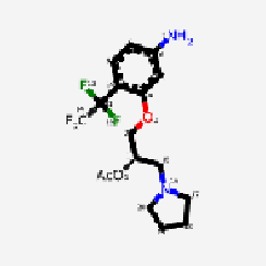 CC(=O)O[C@@H](COc1cc(N)ccc1C(F)(F)C(F)(F)F)CN1CCCC1